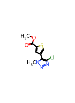 COC(=O)c1cc(-c2c(Cl)nnn2C)cs1